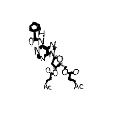 CC(=O)CCC(=O)OC[C@H]1O[C@@H](n2cnc3c(NC(=O)c4ccccc4)ncnc32)C[C@@H]1OC(=O)CCC(C)=O